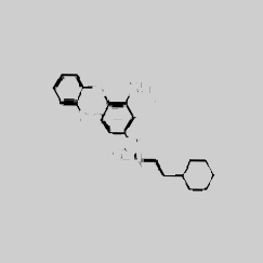 Nc1cc(S(=O)(=O)NCCC2CCCCC2)ccc1Sc1ccccc1C(=O)O